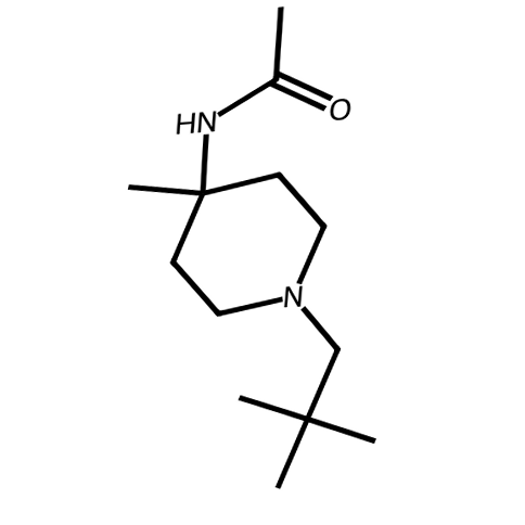 CC(=O)NC1(C)CCN(CC(C)(C)C)CC1